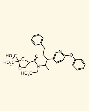 CC(C(CCc1ccccc1)c1ccc(Oc2ccccc2)nc1)N(CC(=O)O)C(=O)C1COC(C(=O)O)(C(=O)O)O1